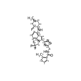 Cc1sccc1C(=O)NCc1nc(-c2cc3c(N[C@@H]4CCN(C)C[C@@H]4F)cccc3n2CC(F)(F)F)no1